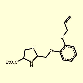 C=CCOc1ccccc1OCC1NC(C(=O)OCC)CS1